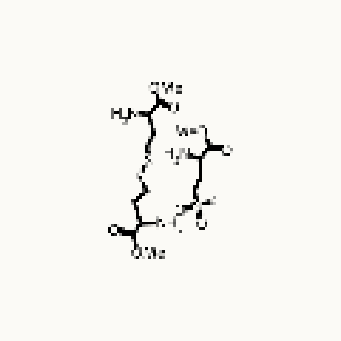 COC(=O)C(N)CCS(=O)(=O)Cl.COC(=O)C(N)CCSSCCC(N)C(=O)OC